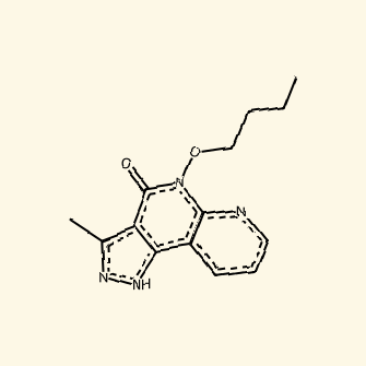 CCCCOn1c(=O)c2c(C)n[nH]c2c2cccnc21